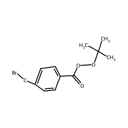 CC(C)(C)OOC(=O)c1ccc(CBr)cc1